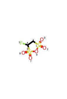 O=S1(=O)CC(F)S(=O)(=O)O1